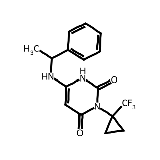 CC(Nc1cc(=O)n(C2(C(F)(F)F)CC2)c(=O)[nH]1)c1ccccc1